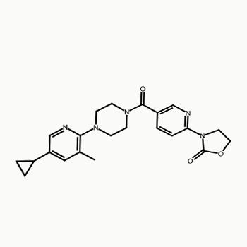 Cc1cc(C2CC2)cnc1N1CCN(C(=O)c2ccc(N3CCOC3=O)nc2)CC1